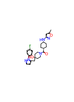 Cc1cc(N[C@H]2CC[C@H](C(=O)N3CCC(O)(Cc4ccnn4-c4ccc(F)cc4)CC3)CC2)no1